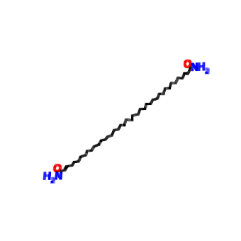 NC(=O)C=CCCCCCCCCCCCCCCCCCCCCCCCCCCCCCCCCCCCC=CC(N)=O